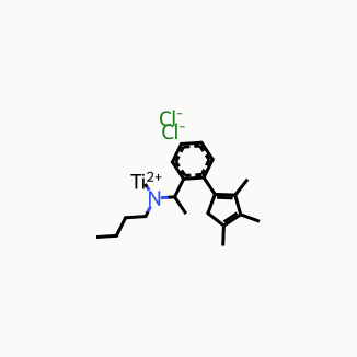 CCCC[N]([Ti+2])C(C)c1ccccc1C1=C(C)C(C)=C(C)C1.[Cl-].[Cl-]